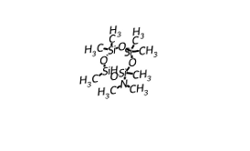 CN(C)[Si]1(C)O[SiH](C)O[Si](C)(C)O[Si](C)(C)O1